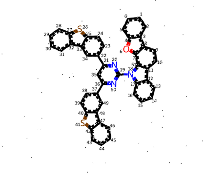 c1ccc2c(c1)oc1c2ccc2c3ccccc3n(-c3nc(-c4ccc5sc6ccccc6c5c4)cc(-c4ccc5sc6ccccc6c5c4)n3)c21